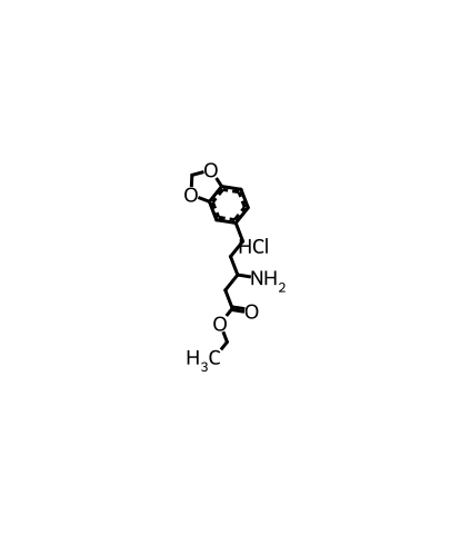 CCOC(=O)CC(N)CCc1ccc2c(c1)OCO2.Cl